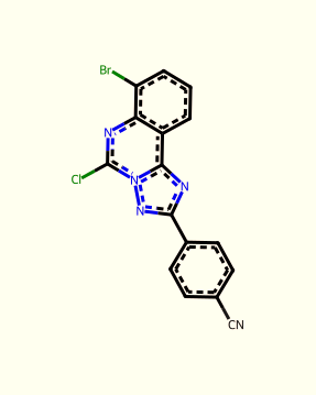 N#Cc1ccc(-c2nc3c4cccc(Br)c4nc(Cl)n3n2)cc1